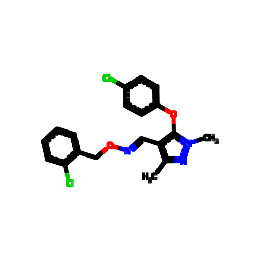 Cc1nn(C)c(Oc2ccc(Cl)cc2)c1C=NOCc1ccccc1Cl